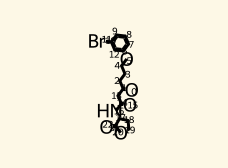 O=C(CCCOc1cccc(Br)c1)CC(=O)N[C@H]1CCOC1=O